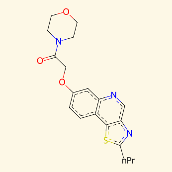 CCCc1nc2cnc3cc(OCC(=O)N4CCOCC4)ccc3c2s1